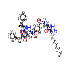 CCCCCCCCCCCNC(=O)N[C@@H]1CCN(C(=O)c2ccc(C(=O)N3C[C@@H](C(=O)N[C@H]4C[C@@H]4c4ccccc4)[C@H](C(=O)N[C@H]4C[C@@H]4c4ccccc4)C3)cc2)C1